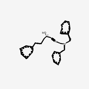 O[C@H](C#[N+]N(Cc1ccccc1)Cc1ccccc1)CCc1ccccc1